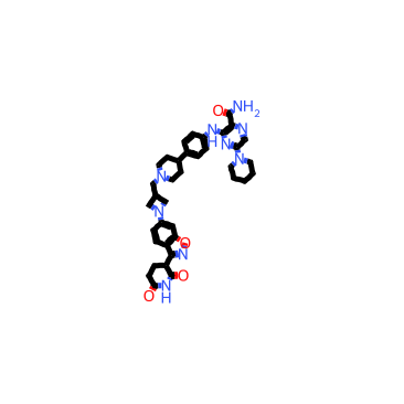 NC(=O)c1ncc(N2CCCCC2)nc1Nc1ccc(C2CCN(CC3CN(c4ccc5c(C6CCC(=O)NC6=O)noc5c4)C3)CC2)cc1